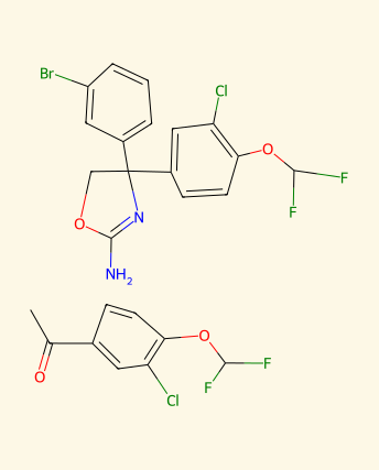 CC(=O)c1ccc(OC(F)F)c(Cl)c1.NC1=NC(c2cccc(Br)c2)(c2ccc(OC(F)F)c(Cl)c2)CO1